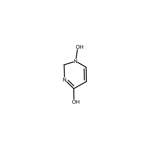 OC1=N[CH]N(O)C=C1